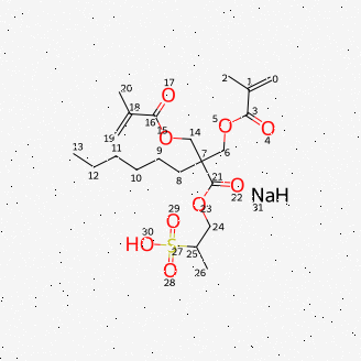 C=C(C)C(=O)OCC(CCCCCC)(COC(=O)C(=C)C)C(=O)OCC(C)S(=O)(=O)O.[NaH]